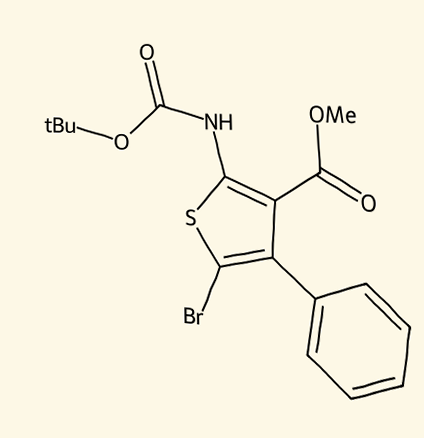 COC(=O)c1c(NC(=O)OC(C)(C)C)sc(Br)c1-c1ccccc1